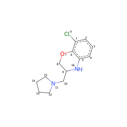 Clc1cccc2c1OCC(CN1CCCC1)N2